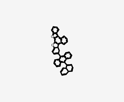 C1=CC2C=CC=C(c3c4ccccc4c(C4=CC=C5Oc6c(c7ccccc7c7c6oc6ccccc67)C5C4)c4ccccc34)C2C=C1